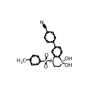 Cc1ccc(S(=O)(=O)N2CCS(O)(O)c3ccc(-c4ccc(C#N)cc4)cc32)cc1